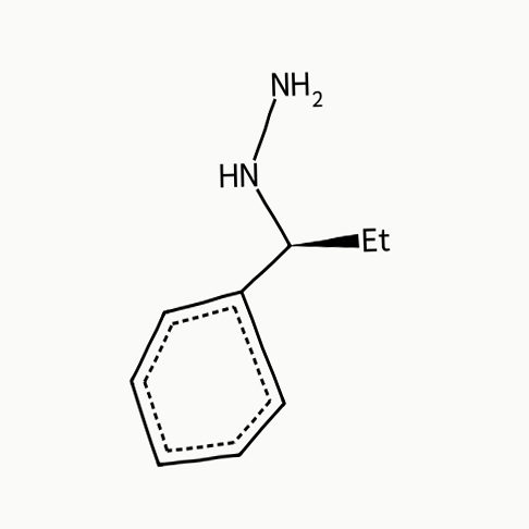 CC[C@H](NN)c1ccccc1